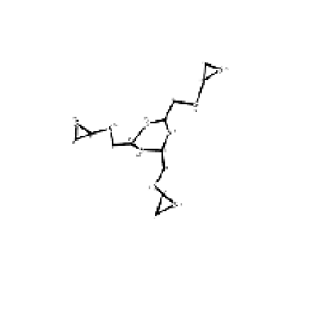 C1SC1SCC1SC(CSC2CS2)SC(CSC2CS2)S1